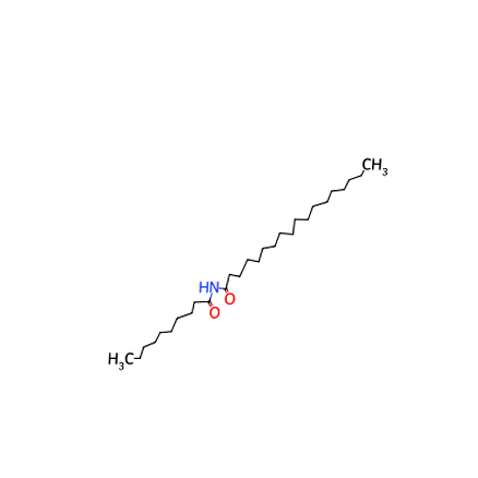 CCCCCCCCCCCCCCCCCC(=O)NC(=O)CCCCCCCCC